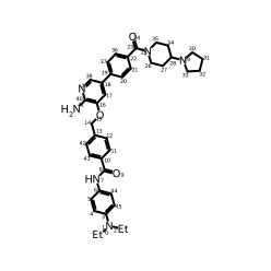 CCN(CC)c1ccc(NC(=O)c2ccc(COc3cc(-c4ccc(C(=O)N5CCC(N6CCCC6)CC5)cc4)cnc3N)cc2)cc1